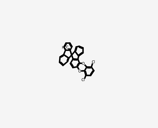 CC12C=CC=CC1c1ccccc1C21c2ccccc2-c2c1ccc1c2Oc2c(Cl)ccc(Cl)c2O1